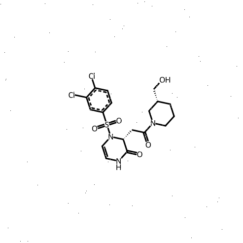 O=C1NC=CN(S(=O)(=O)c2ccc(Cl)c(Cl)c2)[C@@H]1CC(=O)N1CCC[C@@H](CO)C1